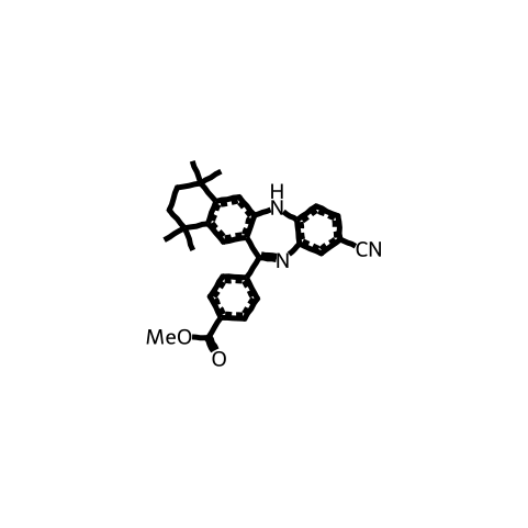 COC(=O)c1ccc(C2=Nc3cc(C#N)ccc3Nc3cc4c(cc32)C(C)(C)CCC4(C)C)cc1